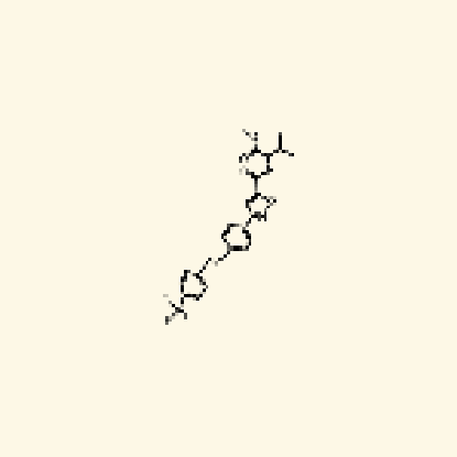 COC(=O)C(NC(=O)c1cc(-c2ccc(OCc3ccc(C(F)(F)F)cc3)cc2)no1)C(C)C